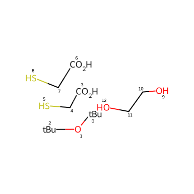 CC(C)(C)OC(C)(C)C.O=C(O)CS.O=C(O)CS.OCCO